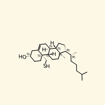 CC(C)CCC[C@@H](C)[C@H]1CC[C@H]2[C@@H]3CC=C4C[C@@H](O)CC[C@]4(CS)[C@H]3CC[C@]12C